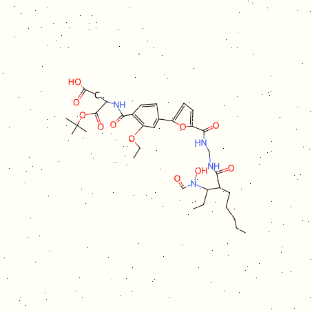 CCCCCC(C(=O)NCNC(=O)c1ccc(-c2ccc(C(=O)NC(CC(=O)O)C(=O)OC(C)(C)C)c(OCC)c2)o1)C(CC)N(O)C=O